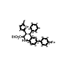 CCOC(=O)C(Cc1ccc(C)o1)Nc1ncc(-c2ccc(F)cc2)nc1Cc1ccccc1